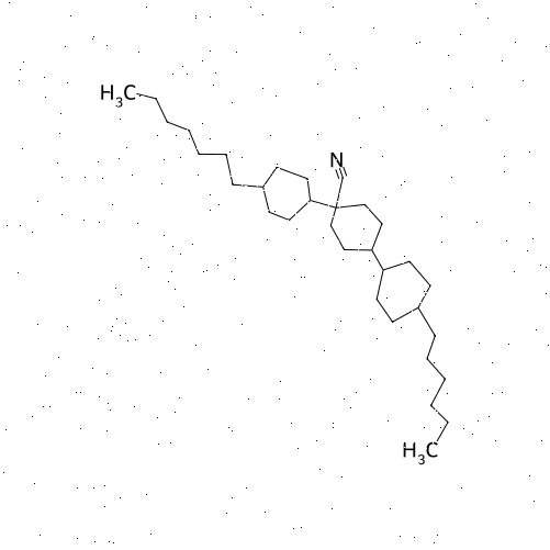 CCCCCCCC1CCC(C2(C#N)CCC(C3CCC(CCCCCC)CC3)CC2)CC1